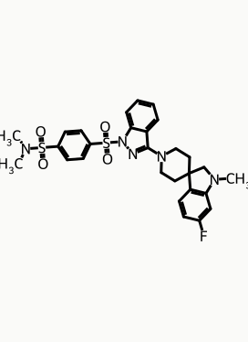 CN1CC2(CCN(c3nn(S(=O)(=O)c4ccc(S(=O)(=O)N(C)C)cc4)c4ccccc34)CC2)c2ccc(F)cc21